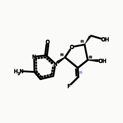 Nc1ccn([C@H]2O[C@H](CO)[C@@H](O)/C2=C/F)c(=O)n1